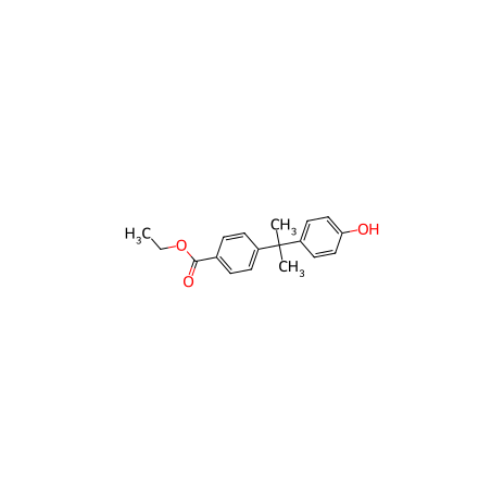 CCOC(=O)c1ccc(C(C)(C)c2ccc(O)cc2)cc1